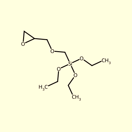 CCO[Si](COCC1CO1)(OCC)OCC